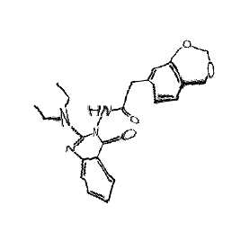 CCN(CC)c1nc2ccccc2c(=O)n1NC(=O)Cc1ccc2c(c1)OCO2